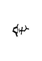 Cc1ccc(C)n1C(C)(C)CC(C)C